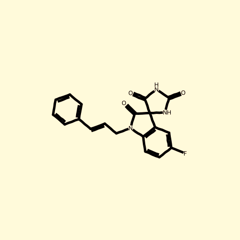 O=C1NC(=O)C2(N1)C(=O)N(C/C=C/c1ccccc1)c1ccc(F)cc12